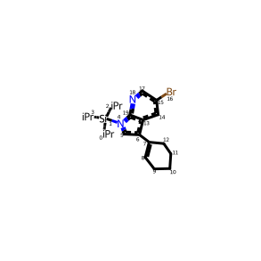 CC(C)[Si](C(C)C)(C(C)C)n1cc(C2=CCCCC2)c2cc(Br)cnc21